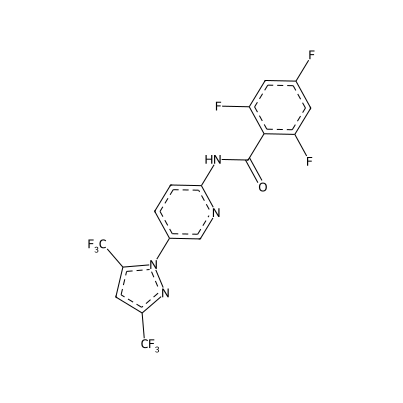 O=C(Nc1ccc(-n2nc(C(F)(F)F)cc2C(F)(F)F)cn1)c1c(F)cc(F)cc1F